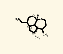 CC1CCO[C@H]2OCC(CN)[C@H]3C[C@@H](C)[C@@H]1C23